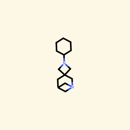 C1CCC(N2CC3(CC4CN(C4)C3)C2)CC1